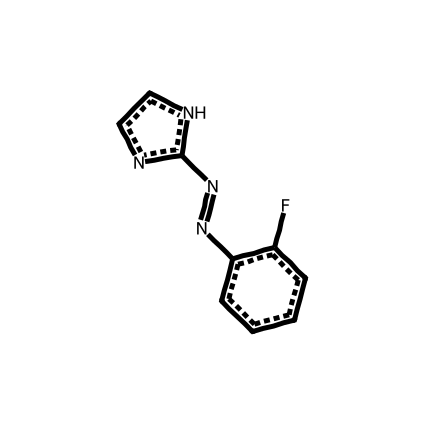 Fc1ccccc1N=Nc1ncc[nH]1